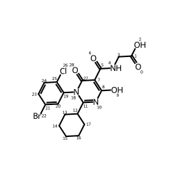 O=C(O)CNC(=O)c1c(O)nc(C2CCCCC2)n(-c2cc(Br)ccc2Cl)c1=O